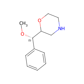 CO[C@@H](c1ccccc1)C1CNCCO1